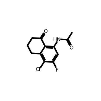 CC(=O)Nc1cc(F)c(Cl)c2c1C(=O)CCC2